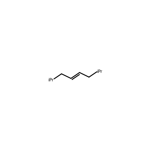 CC(C)CC=CCC(C)C